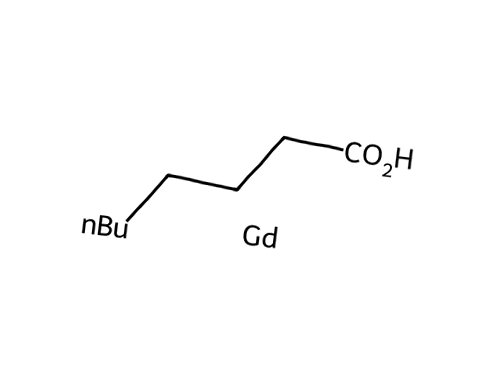 CCCCCCCC(=O)O.[Gd]